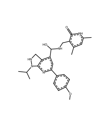 COc1ccc(-c2cc(C(O)NCc3c(C)cc(C)[nH]c3=O)c3c(n2)N(C(C)C)NC3)cc1